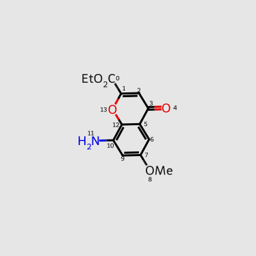 CCOC(=O)c1cc(=O)c2cc(OC)cc(N)c2o1